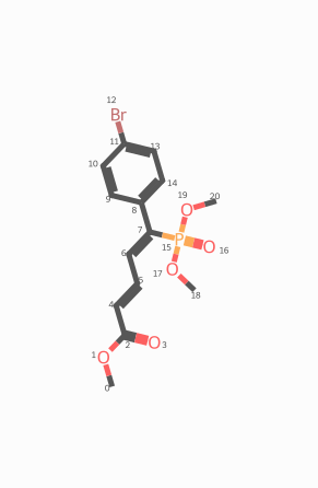 COC(=O)C=CC=C(c1ccc(Br)cc1)P(=O)(OC)OC